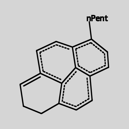 CCCCCc1ccc2ccc3c4c(ccc1c24)=CCC3